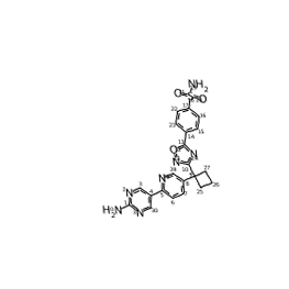 Nc1ncc(-c2ccc(C3(c4noc(-c5ccc(S(N)(=O)=O)cc5)n4)CCC3)cn2)cn1